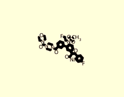 CNC(=O)c1c(-c2ccc(F)cc2)oc2cc(N(CCF)S(C)(=O)=O)c(-c3cccc(C(=O)N4CCN(C(=O)N5CCOCC5)CC4)c3)cc12